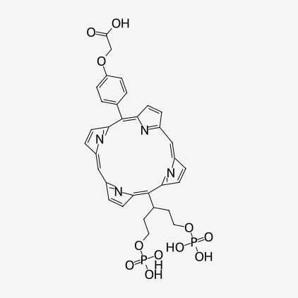 O=C(O)COc1ccc(C2=C3C=CC(=N3)C=C3C=CC(=N3)C(C(CCOP(=O)(O)O)CCOP(=O)(O)O)=C3C=CC(=N3)C=C3C=CC2=N3)cc1